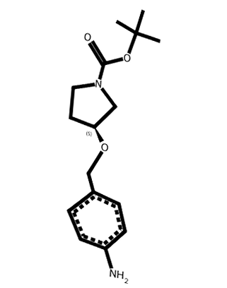 CC(C)(C)OC(=O)N1CC[C@H](OCc2ccc(N)cc2)C1